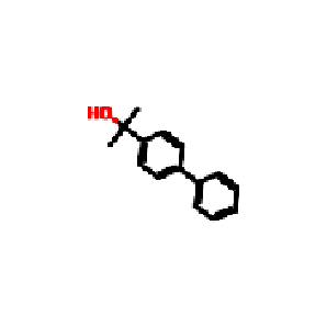 CC(C)(O)c1ccc(-c2ccccc2)cc1